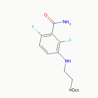 CCCCCCCCCCNc1ccc(F)c(C(N)=O)c1F